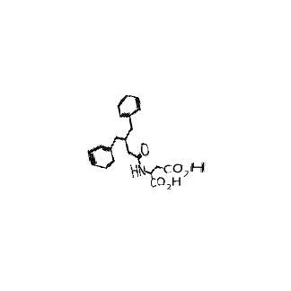 O=C(O)C[C@H](NC(=O)CC(Cc1ccccc1)Cc1ccccc1)C(=O)O